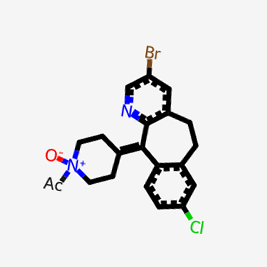 CC(=O)[N+]1([O-])CCC(=C2c3ccc(Cl)cc3CCc3cc(Br)cnc32)CC1